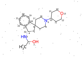 CC(O)N[C@H]1CC2(CCN(C3CCOCC3)CC2)c2ccccc21